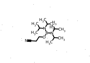 CC(C)N(B(OCCC#N)N(C(C)C)C(C)C)C(C)C